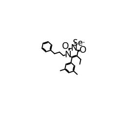 CCc1c(-c2cc(C)cc(C)c2)n(CCCc2ccccc2)c(=O)n([Se])c1=O